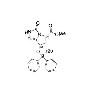 COC(=O)[C@@H]1C[C@H](O[Si](c2ccccc2)(c2ccccc2)C(C)(C)C)c2n[nH]c(=O)n21